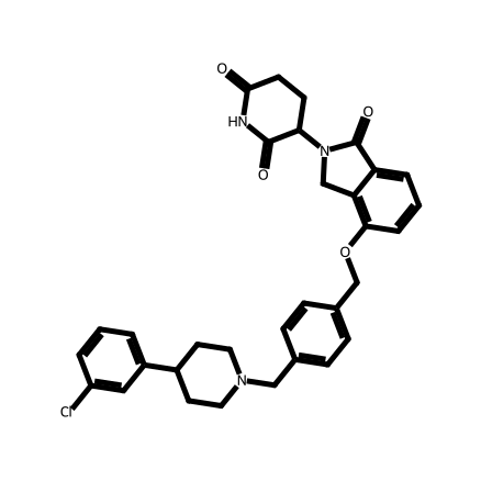 O=C1CCC(N2Cc3c(OCc4ccc(CN5CCC(c6cccc(Cl)c6)CC5)cc4)cccc3C2=O)C(=O)N1